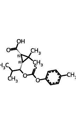 Cc1ccc(OC(=S)OC(C(C)C)[C@@H]2[C@H](C(=O)O)C2(C)C)cc1